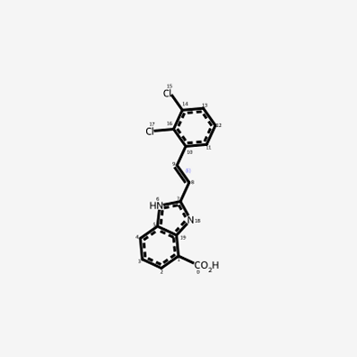 O=C(O)c1cccc2[nH]c(/C=C/c3cccc(Cl)c3Cl)nc12